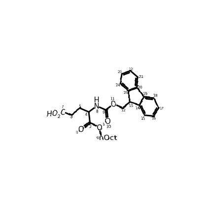 CCCCCCCCOC(=O)C(CCC(=O)O)NC(=O)OCC1c2ccccc2-c2ccccc21